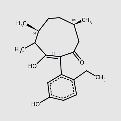 CCc1ccc(O)cc1/C1=C(\O)C(C)[C@@H](C)CC[C@@H](C)CC1=O